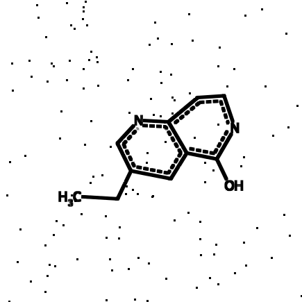 CCc1cnc2ccnc(O)c2c1